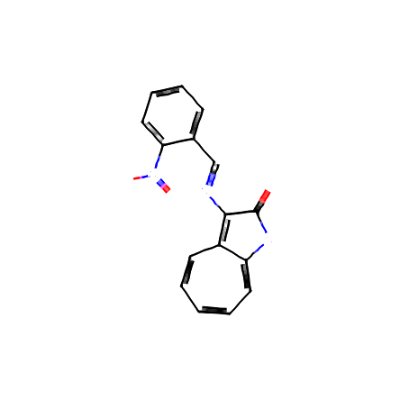 O=c1[nH]c2cccccc-2c1/N=C/c1ccccc1[N+](=O)[O-]